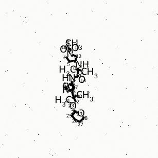 CC(C)(NC1CCN(S(C)(=O)=O)C1)C(=O)Nc1cc(C(C)(C)COC2CCCCO2)no1